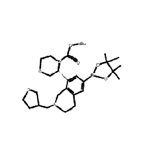 CC(C)(C)OC(=O)N1CCOC[C@H]1c1cc(B2OC(C)(C)C(C)(C)O2)cc2c1CN(CC1CCOC1)CC2